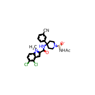 CC(=O)N[S+]([O-])N1CCC(NC(=O)c2cc3c(Cl)c(Cl)ccc3n2C)(c2cccc(C#N)c2)CC1